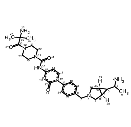 CC(N)C1[C@H]2CN(Cc3ccc(-n4ccc(NC(=O)N5CCN(C(=O)C(C)(C)N)CC5)nc4=O)cc3)C[C@@H]12